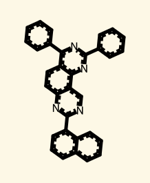 c1ccc(-c2nc(-c3ccccc3)c3ccc4nc(-c5cccc6ccccc56)ncc4c3n2)cc1